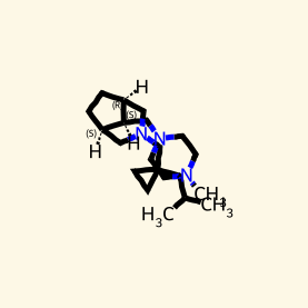 CC(C)CC1(CN2C[C@H]3CC[C@@H](C2)[C@H]3CN2CCN(C)CC2)CC1